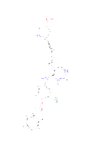 O[C@H]1CN[C@H](C#Cc2cc3c(Nc4ccc(OCc5cccc(F)c5)c(Cl)c4)ncnc3s2)C1